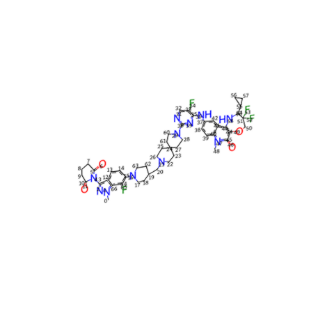 Cn1nc(N2C(=O)CCCC2=O)c2ccc(N3CCC(CN4CCC5(CC4)CCN(c4ncc(F)c(Nc6ccc7c(c6)c6c(c(=O)n7C)OCC(F)(F)[C@H](C7CC7)N6)n4)CC5)CC3)c(F)c21